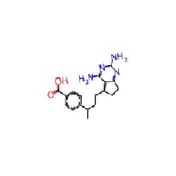 CC(CCC1=C2C(N)=NC(N)N=C2CC1)c1ccc(C(=O)O)cc1